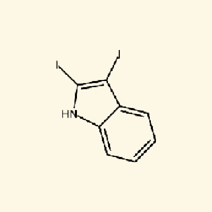 Ic1[nH]c2ccccc2c1I